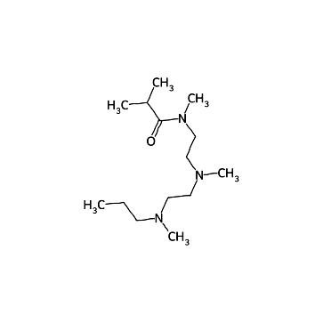 CCCN(C)CCN(C)CCN(C)C(=O)C(C)C